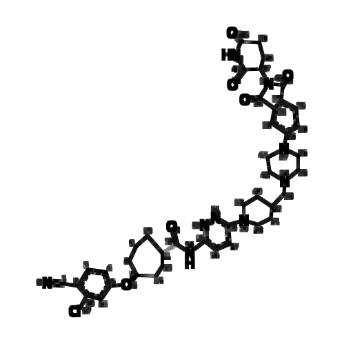 N#Cc1ccc(O[C@H]2CCC[C@H](C(=O)Nc3ccc(N4CCC(CN5CCN(c6ccc7c(c6)C(=O)N(C6CCC(=O)NC6=O)C7=O)CC5)CC4)nn3)CC2)cc1Cl